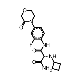 NC(=O)[C@@H](NC1CCC1)C(=O)Nc1ccc(N2CCOCC2=O)cc1F